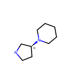 C1CCN([C@H]2CC[N]C2)CC1